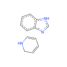 C1=CCNC=C1.c1ccc2[nH]cnc2c1